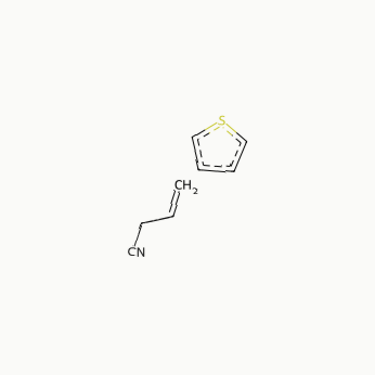 C=CCC#N.c1ccsc1